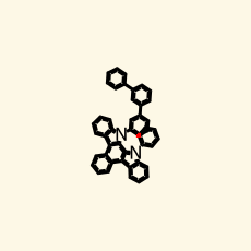 c1ccc(-c2cccc(-c3cccc(-n4c5ccccc5c5c6ccccc6c6c7ccccc7n(-c7ccccc7)c6c54)c3)c2)cc1